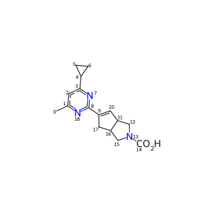 Cc1cc(C2CC2)nc(C2=CC3CN(C(=O)O)CC3C2)n1